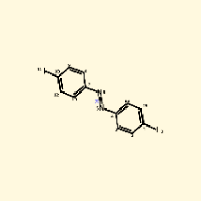 Ic1ccc(/N=N/c2ccc(I)cc2)cc1